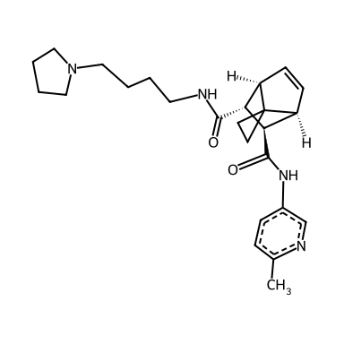 Cc1ccc(NC(=O)[C@H]2[C@H](C(=O)NCCCCN3CCCC3)[C@H]3C=C[C@@H]2C32CC2)cn1